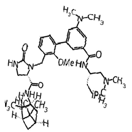 COc1c(CN2C(=O)NC[C@H]2C(=O)N[C@H]2C[C@H]3C[C@@H]([C@@H]2C)C3(C)C)cccc1-c1cc(C(=O)N[C@@H](CC(C)C)CN(C)C)cc(N(C)C)c1